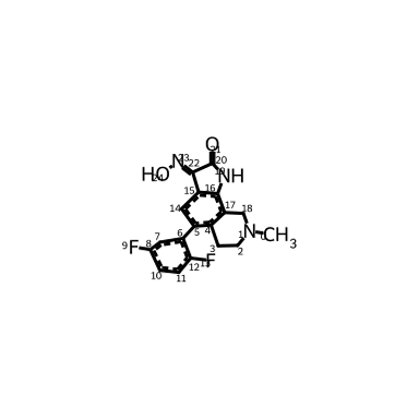 CN1CCc2c(-c3cc(F)ccc3F)cc3c(c2C1)NC(=O)/C3=N/O